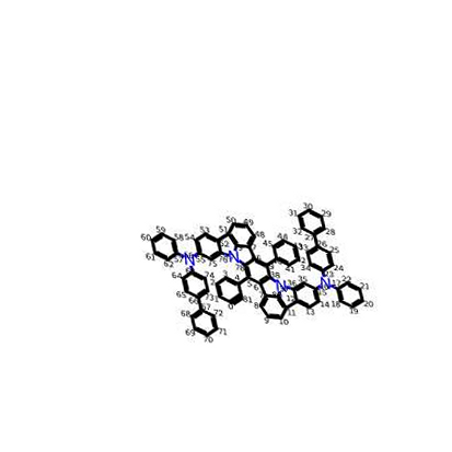 c1cccc(-c2c3c4cccc5c6ccc(N(c7ccccc7)c7ccc(-c8ccccc8)cc7)cc6n(c3c(-c3ccccc3)c3c6cccc7c8ccc(N(c9ccccc9)c9ccc(-c%10ccccc%10)cc9)cc8n(c23)c76)c54)c#1